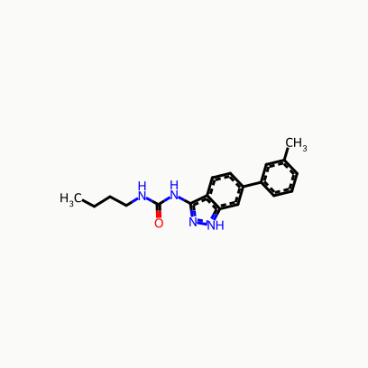 CCCCNC(=O)Nc1n[nH]c2cc(-c3cccc(C)c3)ccc12